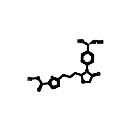 CCCCC[C@@H](O)c1ccc(N2C(=O)COC2CCCc2ccc(C(=O)OC(C)C)s2)cc1